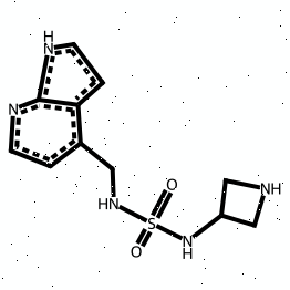 O=S(=O)(NCc1ccnc2[nH]ccc12)NC1CNC1